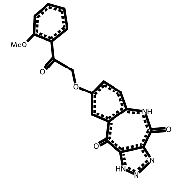 COc1ccccc1C(=O)COc1ccc2[nH]c(=O)c3nn[nH]c3c(=O)c2c1